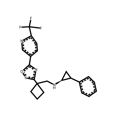 FC(F)(F)c1ccc(-c2nc(C3(CN[C@H]4CC4c4ccccc4)CCC3)no2)cn1